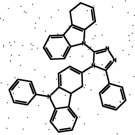 C1=Cc2c(c3ccccc3n2-c2nnc(-c3ccccc3)n2C2=CC=C3C(C2)c2ccccc2N3c2ccccc2)CC1